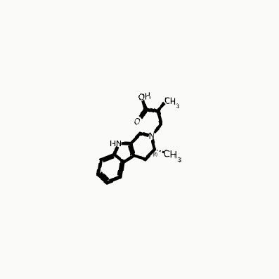 CC(CN1Cc2[nH]c3ccccc3c2C[C@H]1C)C(=O)O